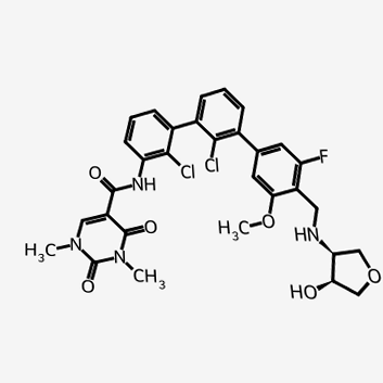 COc1cc(-c2cccc(-c3cccc(NC(=O)c4cn(C)c(=O)n(C)c4=O)c3Cl)c2Cl)cc(F)c1CN[C@H]1COC[C@H]1O